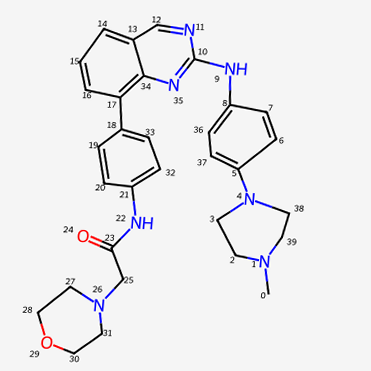 CN1CCN(c2ccc(Nc3ncc4cccc(-c5ccc(NC(=O)CN6CCOCC6)cc5)c4n3)cc2)CC1